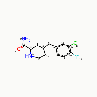 NC(=O)C1CC([CH]c2ccc(F)c(Cl)c2)CCN1